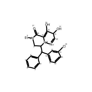 CCN1CC(C(c2ccccc2)c2cccc(Cl)c2)N2N=CC(O)C(O)=C2C1=O